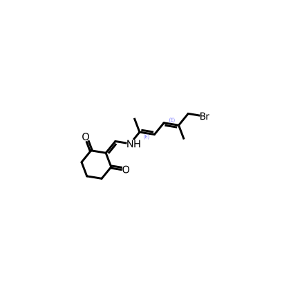 C/C(=C\C=C(/C)NC=C1C(=O)CCCC1=O)CBr